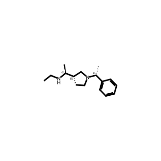 CCN[C@@H](C)[C@H]1CCN([C@H](C)c2ccccc2)C1